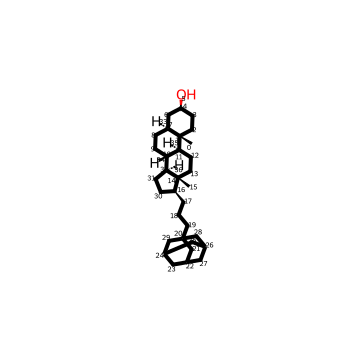 C[C@]12CC[C@H](O)C[C@@H]1CC[C@@H]1[C@@H]2CC[C@]2(C)[C@@H](CCCC34CC5CC(CC(C5)C3)C4)CC[C@@H]12